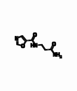 NC(=O)CCNC(=O)c1cnco1